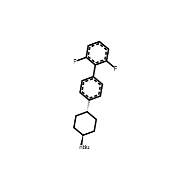 CCCC[C@H]1CC[C@H](c2ccc(-c3c(F)cccc3F)cc2)CC1